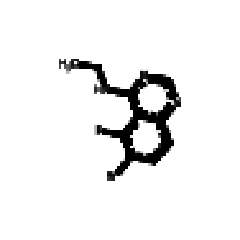 CCNc1ncnc2ccc(Br)c(F)c12